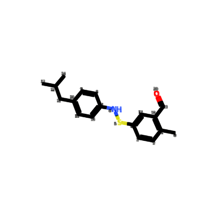 Cc1ccc(SNc2ccc(CC(C)C)cc2)cc1C=O